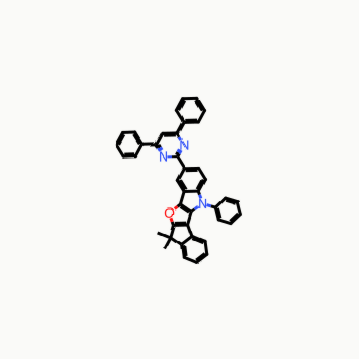 CC1(C)c2ccccc2-c2c1oc1c3cc(-c4nc(-c5ccccc5)cc(-c5ccccc5)n4)ccc3n(-c3ccccc3)c21